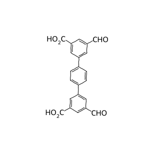 O=Cc1cc(C(=O)O)cc(-c2ccc(-c3cc(C=O)cc(C(=O)O)c3)cc2)c1